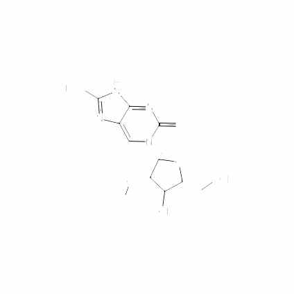 CO[C@H]1C(O)[C@@H](CO)O[C@H]1n1cc2nc(C)[nH]c2nc1=S